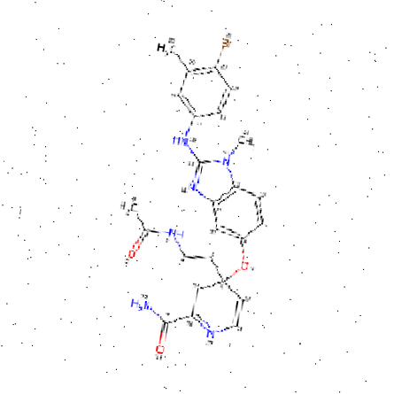 CC(=O)NCCC1(Oc2ccc3c(c2)nc(Nc2ccc(Br)c(C)c2)n3C)C=CN=C(C(N)=O)C1